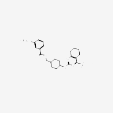 COc1cccc(C(=O)NCC2CCC(Nc3nc4c(c(N(C)C)n3)CCCC4)CC2)c1